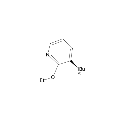 CCOc1ncccc1[C@H](C)CC